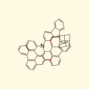 c1ccc(-c2cccc3cccc(-c4ccccc4N(c4ccc5c(c4)C4(c6ccccc6-5)C5CC6CC7CC4C675)c4ccccc4-c4cccc5cccc(-c6ccccc6)c45)c23)cc1